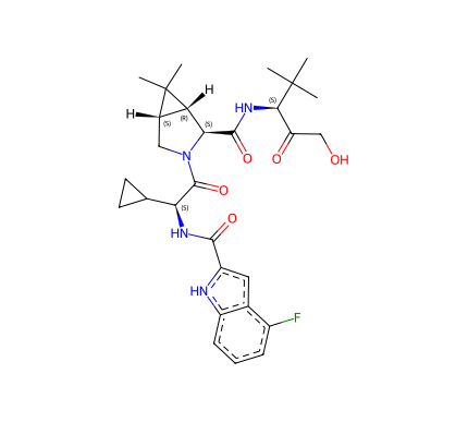 CC(C)(C)[C@H](NC(=O)[C@@H]1[C@@H]2[C@H](CN1C(=O)[C@@H](NC(=O)c1cc3c(F)cccc3[nH]1)C1CC1)C2(C)C)C(=O)CO